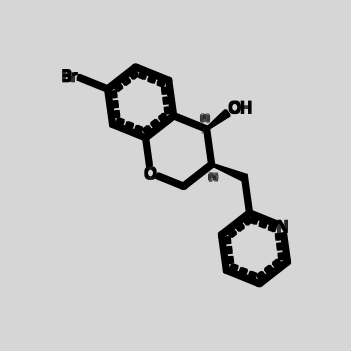 O[C@@H]1c2ccc(Br)cc2OC[C@@H]1Cc1ccccn1